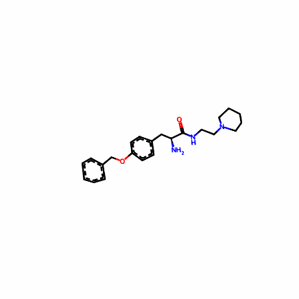 N[C@@H](Cc1ccc(OCc2ccccc2)cc1)C(=O)NCCN1CCCCC1